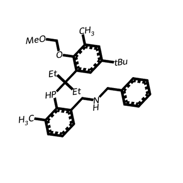 CCC(CC)(Pc1c(C)cccc1CNCc1ccccc1)c1cc(C(C)(C)C)cc(C)c1OCOC